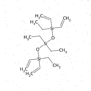 C=C[Si](C=C)(CC)O[Si](CC)(CC)O[Si](C=C)(C=C)CC